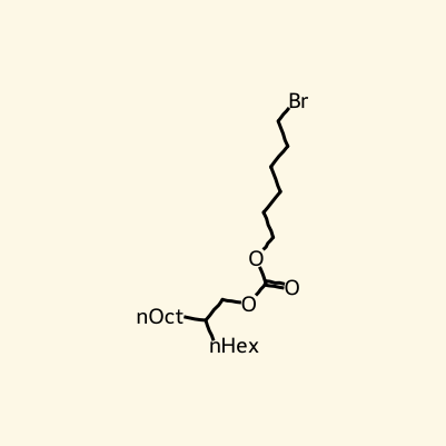 CCCCCCCCC(CCCCCC)COC(=O)OCCCCCCBr